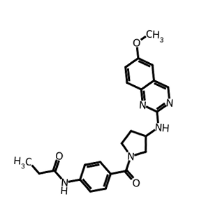 CCC(=O)Nc1ccc(C(=O)N2CCC(Nc3ncc4cc(OC)ccc4n3)C2)cc1